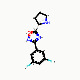 Fc1cc(F)cc(-c2noc([C@@H]3CCCN3)n2)c1